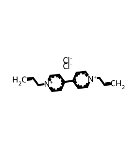 C=CC[n+]1ccc(-c2cc[n+](CC=C)cc2)cc1.[Cl-].[Cl-]